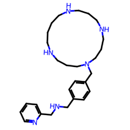 c1ccc(CNCc2ccc(CN3CCCNCCCCNCCCNCCC3)cc2)nc1